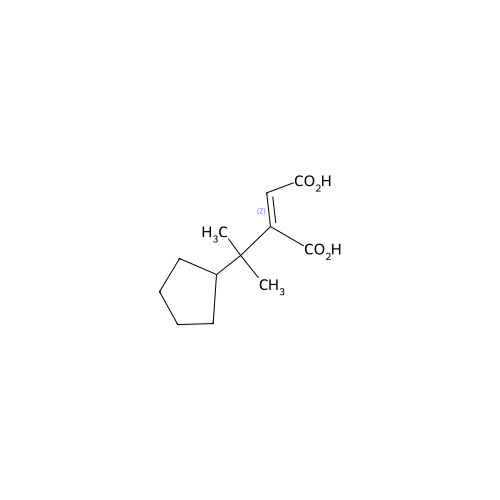 CC(C)(/C(=C/C(=O)O)C(=O)O)C1CCCC1